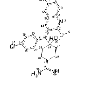 COc1nc2ccc(Br)cc2cc1C(c1ccc(Cl)cc1)C1(O)CCC(C(=N)N)CC1